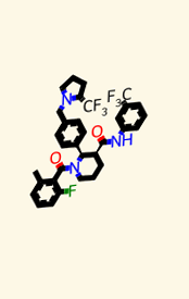 Cc1cccc(F)c1C(=O)N1CCC[C@H](C(=O)Nc2cccc(C(F)(F)F)c2)[C@@H]1c1ccc(CN2CCCC2C(F)(F)F)cc1